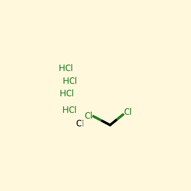 Cl.Cl.Cl.Cl.ClCCl.[C]